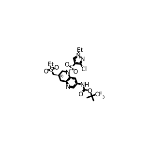 CCn1cc(S(=O)(=O)N2C[C@H](CS(=O)(=O)CC)Cc3ncc(NC(=O)OC(C)(C)C(F)(F)F)cc32)c(Cl)n1